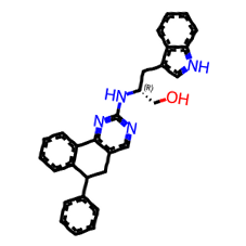 OC[C@@H](Cc1c[nH]c2ccccc12)Nc1ncc2c(n1)-c1ccccc1C(c1ccccc1)C2